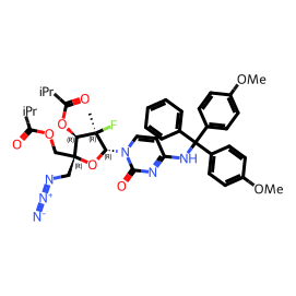 COc1ccc(C(Nc2ccn([C@@H]3O[C@](CN=[N+]=[N-])(COC(=O)C(C)C)[C@@H](OC(=O)C(C)C)[C@@]3(C)F)c(=O)n2)(c2ccccc2)c2ccc(OC)cc2)cc1